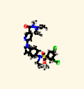 CCN(C(=O)c1ccc(-n2ccc3cc(N(CC(=O)O)S(=O)(=O)c4cc(Cl)cc(Cl)c4)ccc32)nc1)N(C)C